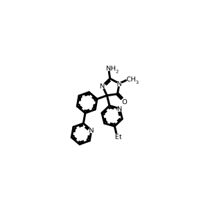 CCc1ccc(C2(c3cccc(-c4ccccn4)c3)N=C(N)N(C)C2=O)nc1